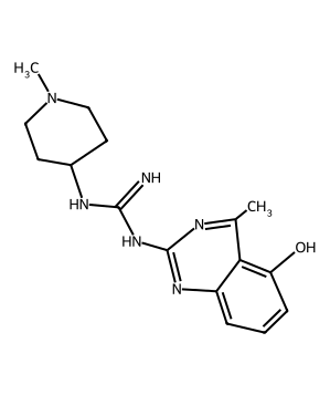 Cc1nc(NC(=N)NC2CCN(C)CC2)nc2cccc(O)c12